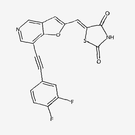 O=C1NC(=O)C(=Cc2cc3cncc(C#Cc4ccc(F)c(F)c4)c3o2)S1